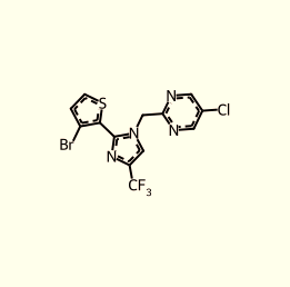 FC(F)(F)c1cn(Cc2ncc(Cl)cn2)c(-c2sccc2Br)n1